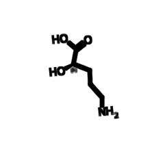 NCCC[C@@H](O)C(=O)O